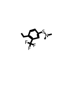 CCc1ccc(SN(C)C)cc1C(F)(F)F